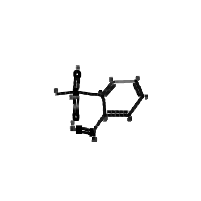 CS(=O)(=O)c1ccccc1N=[N]